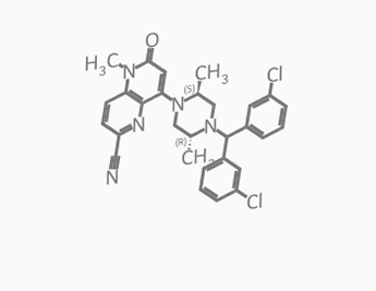 C[C@@H]1CN(c2cc(=O)n(C)c3ccc(C#N)nc23)[C@@H](C)CN1C(c1cccc(Cl)c1)c1cccc(Cl)c1